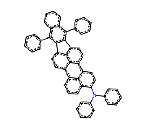 c1ccc(-c2c3c(c(-c4ccccc4)c4ccccc24)-c2ccc4c5ccc(N(c6ccccc6)c6ccccc6)c6cccc(c7ccc-3c2c74)c65)cc1